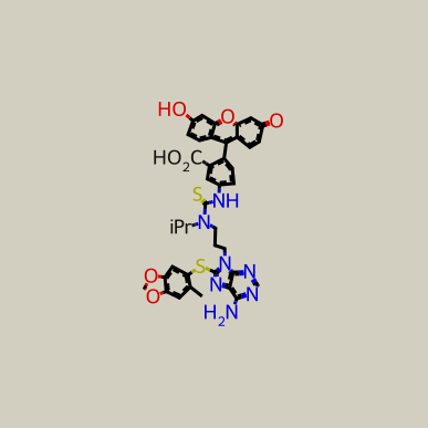 Cc1cc2c(cc1Sc1nc3c(N)ncnc3n1CCCN(C(=S)Nc1ccc(-c3c4ccc(=O)cc-4oc4cc(O)ccc34)c(C(=O)O)c1)C(C)C)OCO2